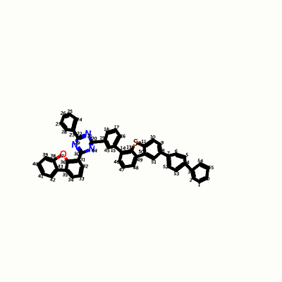 c1ccc(-c2ccc(-c3ccc4sc5c(-c6cccc(-c7nc(-c8ccccc8)nc(-c8cccc9c8oc8ccccc89)n7)c6)cccc5c4c3)cc2)cc1